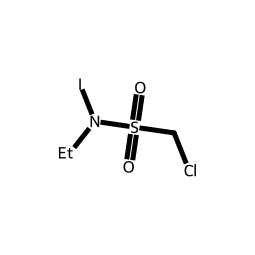 CCN(I)S(=O)(=O)CCl